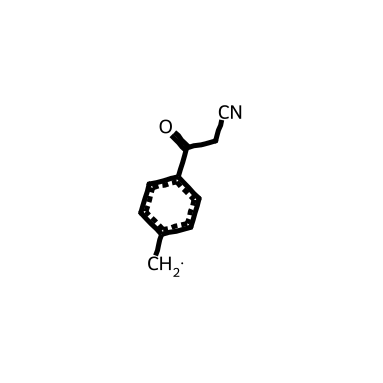 [CH2]c1ccc(C(=O)CC#N)cc1